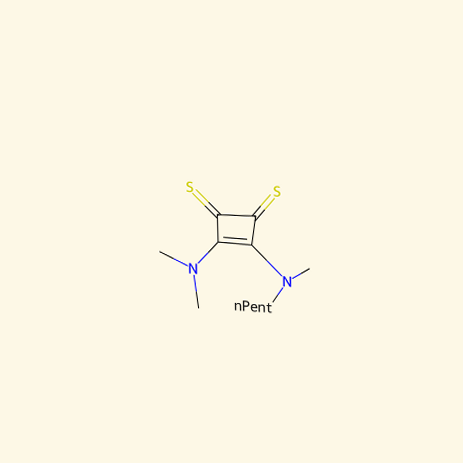 CCCCCN(C)c1c(N(C)C)c(=S)c1=S